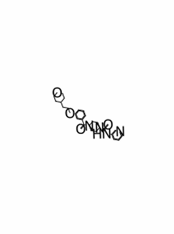 O=C(Nc1cccnc1)N1CCN(C(=O)c2cccc(OCCC3CCOCC3)c2)CC1